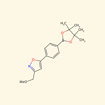 COCc1cc(-c2ccc(B3OC(C)(C)C(C)(C)O3)cc2)on1